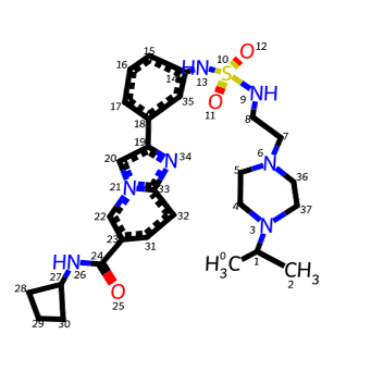 CC(C)N1CCN(CCNS(=O)(=O)Nc2cccc(-c3cn4cc(C(=O)NC5CCC5)ccc4n3)c2)CC1